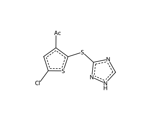 CC(=O)c1cc(Cl)sc1Sc1nc[nH]n1